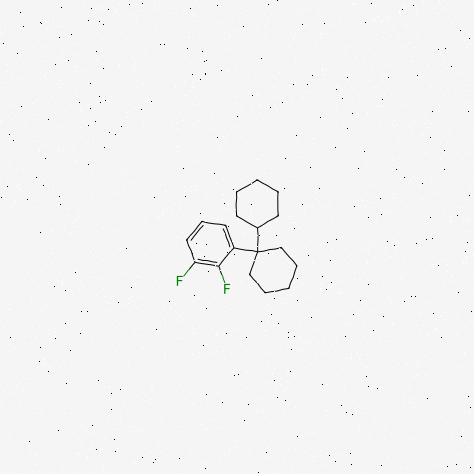 Fc1cccc(C2(C3CCCCC3)CCCCC2)c1F